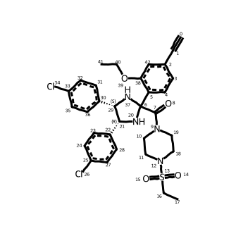 C#Cc1ccc(C2(C(=O)N3CCN(S(=O)(=O)CC)CC3)N[C@H](c3ccc(Cl)cc3)[C@H](c3ccc(Cl)cc3)N2)c(OCC)c1